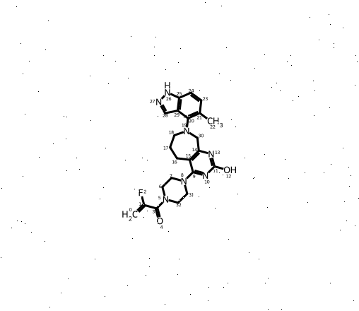 C=C(F)C(=O)N1CCN(c2nc(O)nc3c2CCCN(c2c(C)ccc4[nH]ncc24)C3)CC1